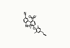 C=CCc1cc(C)c(Oc2ccc([N+](=O)[O-])c(-c3cc(C#N)ccc3N)n2)c(C)c1